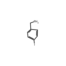 PCc1ccc(I)cc1